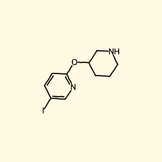 Ic1ccc(OC2CCCNC2)nc1